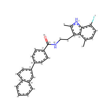 Cc1[nH]c2c(F)ccc(C)c2c1CCNC(=O)c1ccc(-c2ccc3ccccc3c2)cc1